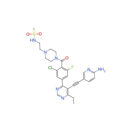 CCc1ncnc(-c2cc(F)c(C(=O)N3CCN(CCNS(C)(=O)=O)CC3)c(Cl)c2)c1C#Cc1ccc(N)nc1